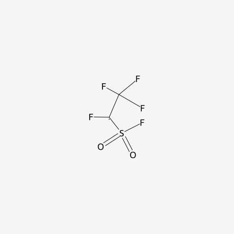 O=S(=O)(F)[C](F)C(F)(F)F